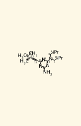 CC(C)CN(CC(C)C)c1nc(N)nc(C#C[Si](C)(C)C)n1